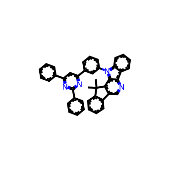 CC1(C)c2ccccc2-c2cnc3c4ccccc4n(-c4cccc(-c5cc(-c6ccccc6)nc(-c6ccccc6)n5)c4)c3c21